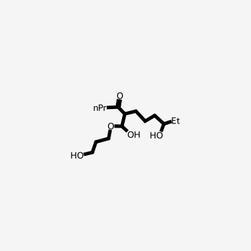 CCCC(=O)C(CCCC(O)CC)C(O)OCCCO